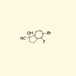 N#CC1(O)CCc2c1ccc(Br)c2F